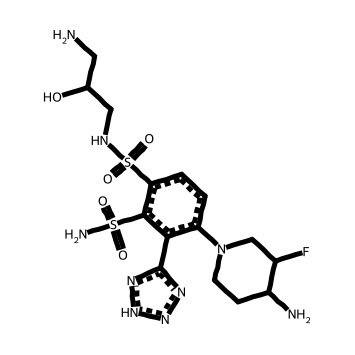 NCC(O)CNS(=O)(=O)c1ccc(N2CCC(N)C(F)C2)c(-c2nn[nH]n2)c1S(N)(=O)=O